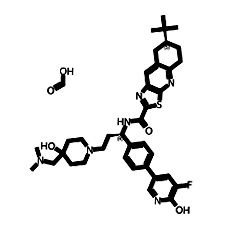 CN(C)CC1(O)CCN(CC[C@@H](NC(=O)c2nc3cc4c(nc3s2)CC[C@H](C(C)(C)C)C4)c2ccc(-c3cnc(O)c(F)c3)cc2)CC1.O=CO